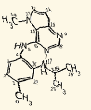 Cc1ccc(Nc2ncnc3ccn(C)c23)c(NC(C)C)c1